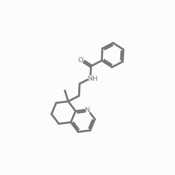 CC1(CCNC(=O)c2ccccc2)CCCc2cccnc21